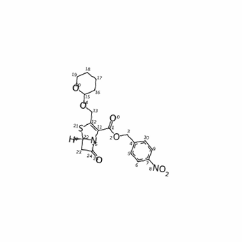 O=C(OCc1ccc([N+](=O)[O-])cc1)C1=C(COC2CCCCO2)S[C@H]2CC(=O)N12